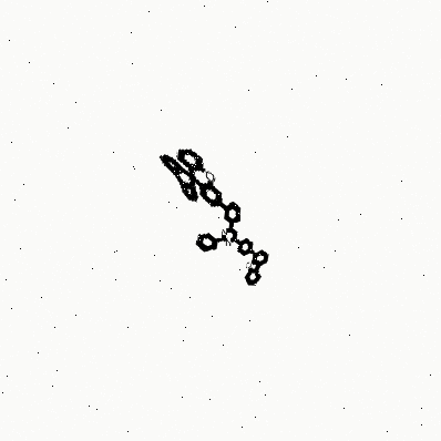 c1ccc(-c2nc(-c3ccc(-c4cccc5c4oc4ccccc45)cc3)cc(-c3cccc(-c4ccc5c(c4)Oc4ccccc4C54c5ccccc5-c5ccccc54)c3)n2)cc1